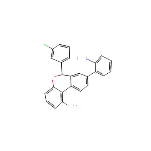 COc1cccc2c1-c1ccc(-c3ccccc3N)cc1C(c1cccc(Cl)c1)O2